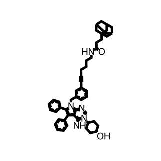 N=c1c2c(-c3ccccc3)c(-c3ccccc3)n(Cc3cccc(C#CCCCCNC(=O)CCC45CC6CC(CC(C6)C4)C5)c3)c2ncn1C1CCC(O)CC1